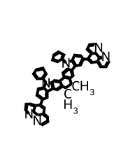 CC1c2cc3c4cc(-c5cc6cccnc6c6ncccc56)ccc4n(-c4ccccc4)c3cc2-c2cc3c(cc2C1C)c1cc(-c2cc4cccnc4c4ncccc24)ccc1n3-c1ccccc1